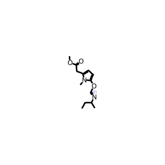 CCC(C)/N=C/Oc1ccc(CC(=O)OC)n1C